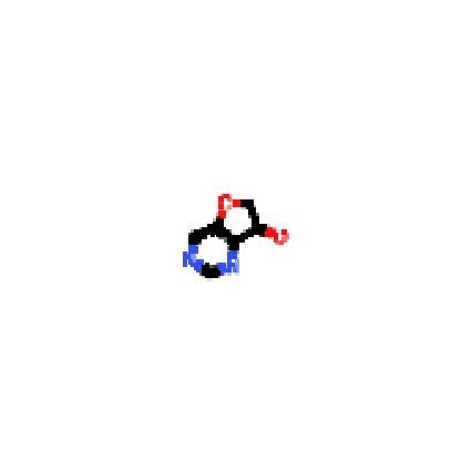 O=C1COc2cncnc21